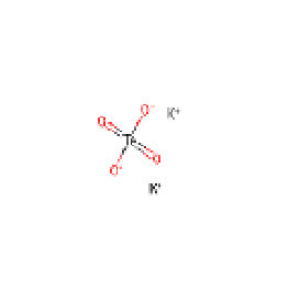 O=[Te](=O)([O-])[O-].[K+].[K+]